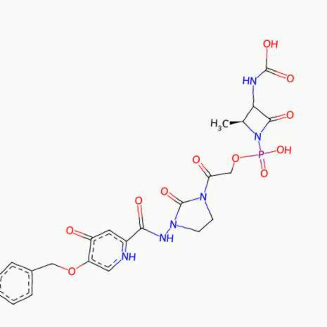 C[C@H]1C(NC(=O)O)C(=O)N1P(=O)(O)OCC(=O)N1CCN(NC(=O)c2cc(=O)c(OCc3ccccc3)c[nH]2)C1=O